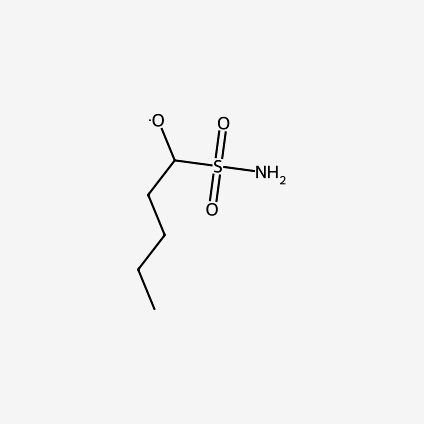 CCCCC([O])S(N)(=O)=O